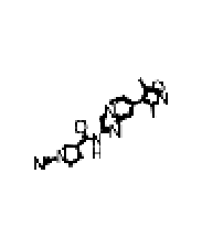 Cc1noc(C)c1-c1ccn2cc(NC(=O)C3CCN(C#N)C3)nc2c1